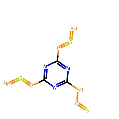 P=S=Pc1nc(P=S=P)nc(PP=S)n1